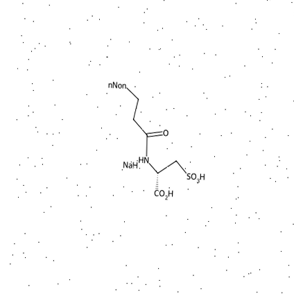 CCCCCCCCCCCC(=O)N[C@H](CS(=O)(=O)O)C(=O)O.[NaH]